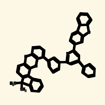 CC1(C)c2ccccc2-c2c1ccc1c2Oc2c(cccc2-c2cccc(-c3cc(-c4ccccc4)cc(-c4ccc5c(c4)oc4ccccc45)n3)c2)O1